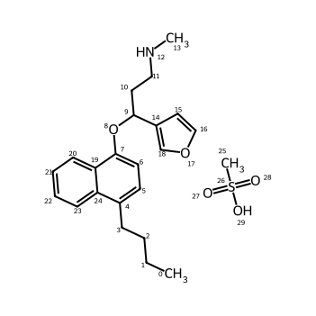 CCCCc1ccc(OC(CCNC)c2ccoc2)c2ccccc12.CS(=O)(=O)O